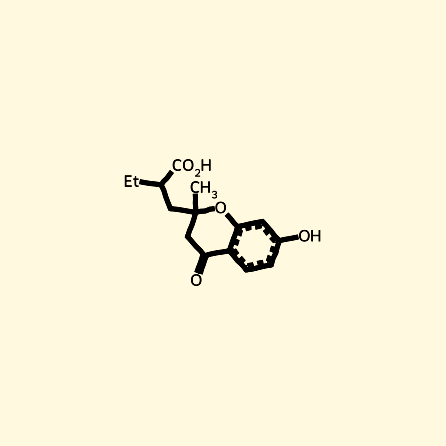 CCC(CC1(C)CC(=O)c2ccc(O)cc2O1)C(=O)O